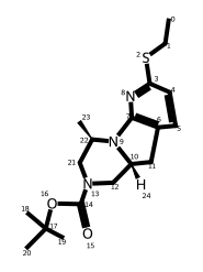 CCSc1ccc2c(n1)N1[C@H](C2)CN(C(=O)OC(C)(C)C)C[C@H]1C